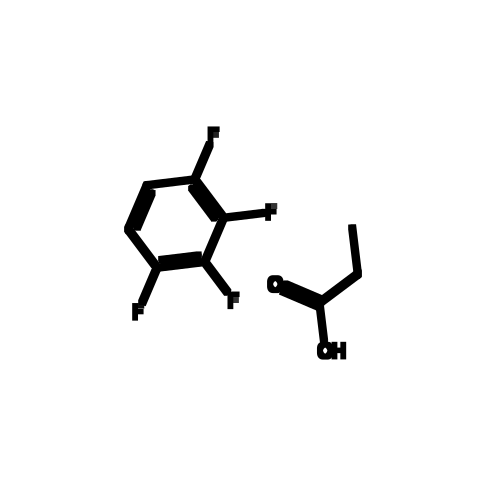 CCC(=O)O.Fc1ccc(F)c(F)c1F